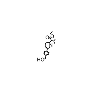 CCOC(=O)C(C(C)C)C1CCC=C(c2ccc(CO)cc2)C=N1